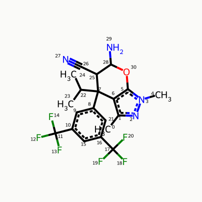 Cc1nn(C)c2c1C(c1cc(C(F)(F)F)cc(C(F)(F)F)c1)(C(C)C)C(C#N)C(N)O2